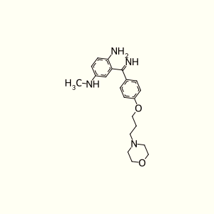 CNc1ccc(N)c(C(=N)c2ccc(OCCCN3CCOCC3)cc2)c1